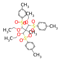 CCOC(C(C)(C(OCC)S(=O)(=O)c1ccc(C)cc1)C(OCC)S(=O)(=O)c1ccc(C)cc1)S(=O)(=O)c1ccc(C)cc1